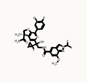 COc1cc(C(=O)NCC(O)(c2cc3c(c(-c4ccc(F)c(Cl)c4)n2)OC[C@]3(C)C(N)=O)C2(F)CC2)cc2cn(C(F)F)nc12